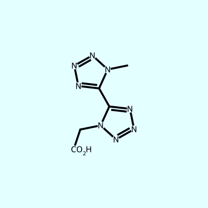 Cn1nnnc1-c1nnnn1CC(=O)O